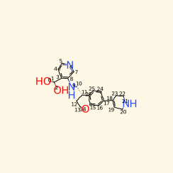 OC(O)c1ccncc1NC[C@H]1CCOc2cc(C3=CCNCC3)ccc21